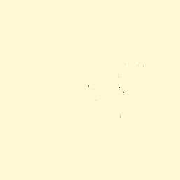 CCCc1ccc(C(=O)C(OCC)N(C)OC(=O)c2ccccc2)cc1